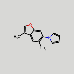 Cc1cc2c(C)coc2cc1-n1cccc1